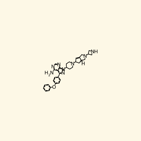 Nc1ncnc2c1c(-c1ccc(Oc3ccccc3)cc1)nn2C1CCN(C2C=C3CN(C4CNC4)C[C@@H]3C2)CC1